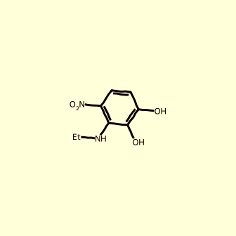 CCNc1c([N+](=O)[O-])ccc(O)c1O